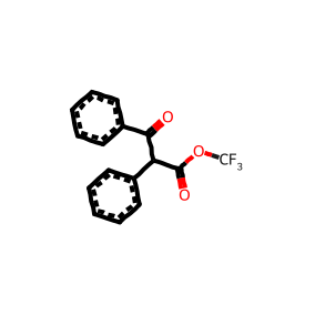 O=C(OC(F)(F)F)C(C(=O)c1ccccc1)c1ccccc1